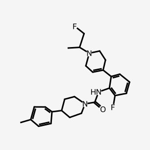 Cc1ccc(C2CCN(C(=O)Nc3c(F)cccc3C3=CCN(C(C)CF)CC3)CC2)cc1